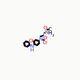 CC(=O)NC[C@H]1CN(c2ccc3c(c2)Oc2ccccc2N3)C(=O)O1